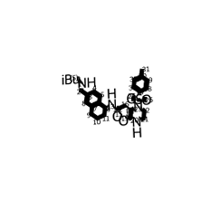 CC[C@H](C)NCc1ccc2c(c1)CCC[C@H]2NC(=O)C[C@@H]1C(=O)NCCN1S(=O)(=O)c1ccc(C)cc1